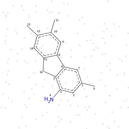 Cc1cc(N)c2c(c1)-c1cc(C)c(C)cc1C2